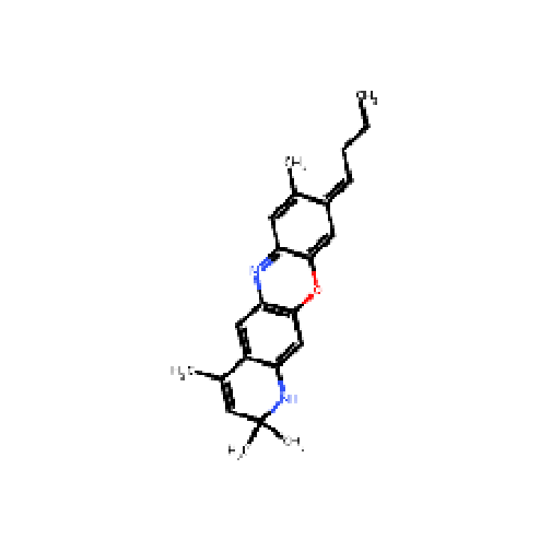 CCC/C=c1/cc2c(cc1C)=Nc1cc3c(cc1O2)NC(C)(C)C=C3C